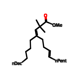 CCCCCC=CCC/C(=C\C(C)(C)C(=O)OC)CCCCCCCCCCCCCC